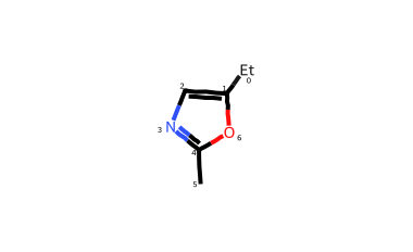 [CH2]Cc1cnc(C)o1